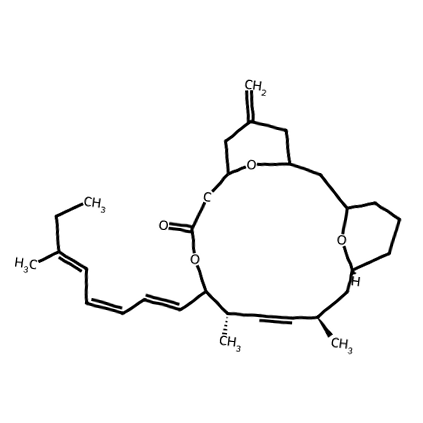 C=C1CC2CC(=O)OC(/C=C/C=C\C=C(/C)CC)[C@@H](C)/C=C/[C@H](C)C[C@H]3CCCC(CC(C1)O2)O3